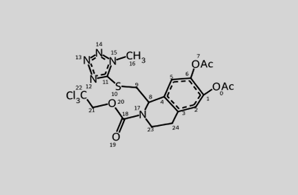 CC(=O)Oc1cc2c(cc1OC(C)=O)C(CSc1nnnn1C)N(C(=O)OCC(Cl)(Cl)Cl)CC2